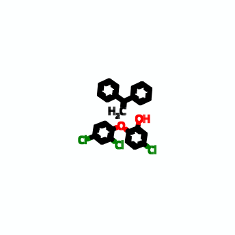 C=C(c1ccccc1)c1ccccc1.Oc1cc(Cl)ccc1Oc1ccc(Cl)cc1Cl